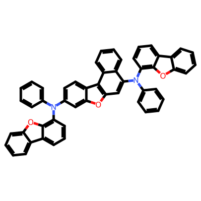 c1ccc(N(c2ccc3c(c2)oc2cc(N(c4ccccc4)c4cccc5c4oc4ccccc45)c4ccccc4c23)c2cccc3c2oc2ccccc23)cc1